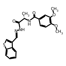 COc1ccc(C(=O)N[C@@H](C)C(=O)N/N=C/c2csc3ccccc23)cc1OC